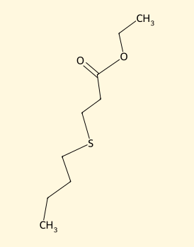 CCCCSCCC(=O)OCC